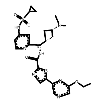 CCOc1cncc(-c2cnc(C(=O)N[C@H](c3cc(NS(=O)(=O)C4CC4)ccn3)[C@H]3C[C@@H](N(C)C)C3)s2)n1